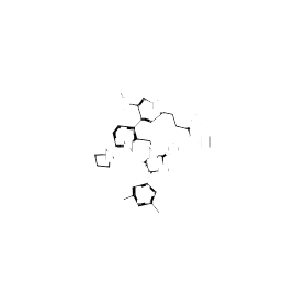 COC1=CCC(CCC(=O)O)C=C1c1ccc(N2CCC2)nc1CN1C(=O)O[C@H](c2cc(C)cc(C)c2)[C@@H]1C